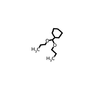 CCCOC(OCCC)C1CCCCC1